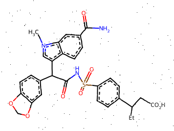 CCC(CC(=O)O)c1ccc(S(=O)(=O)NC(=O)C(c2ccc3c(c2)OCO3)c2cn(C)c3cc(C(N)=O)ccc23)cc1